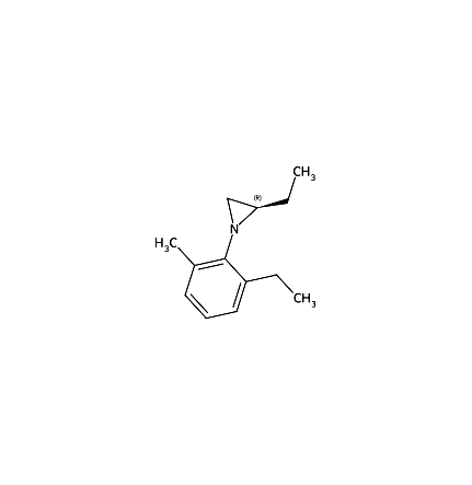 CCc1cccc(C)c1N1C[C@H]1CC